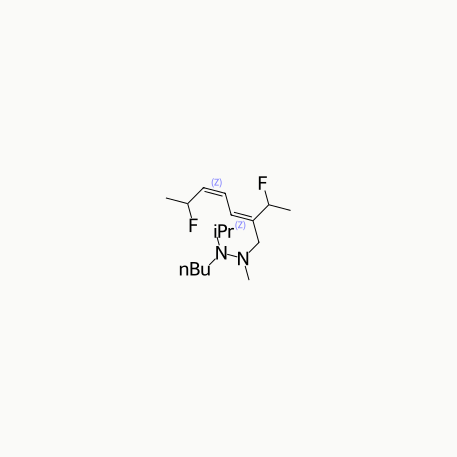 CCCCN(C(C)C)N(C)C/C(=C/C=C\C(C)F)C(C)F